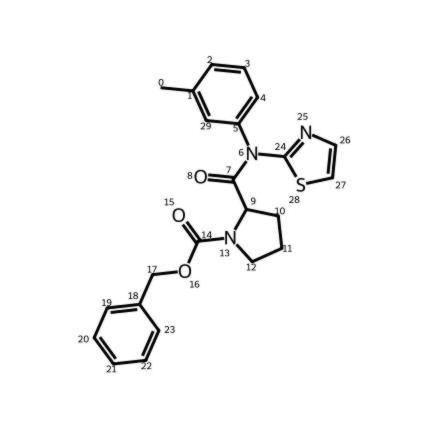 Cc1cccc(N(C(=O)C2CCCN2C(=O)OCc2ccccc2)c2nccs2)c1